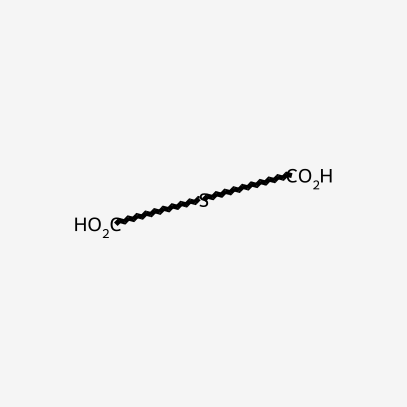 O=C(O)CCCCCCCCCCCCCCCCCCCSCCCCCCCCCCCCCCCCCCCC(=O)O